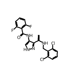 C=C(NCc1c(Cl)cccc1Cl)c1n[nH]cc1NC(=O)c1c(F)cccc1F